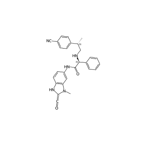 C[C@H](CN[C@H](C(=O)Nc1ccc2c(c1)N(C)C(=C=O)N2)c1ccccc1)c1ccc(C#N)cc1